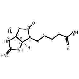 N=C1N[C@H]2[C@H](C[S+]([O-])[C@H]2CCCCC(=O)O)N1